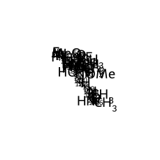 COC(=O)NC(C(=O)NC(Cc1ccc(C#Cc2ccc([C@]3(C)CNC[C@@H](C)O3)nc2)cc1)C(O)CN(Cc1c(F)cc(-c2cnn(C(F)F)c2)cc1F)NC(=O)C(NC(=O)OC)C(C)(C)C(F)(F)F)C(C)(C)C(F)(F)F